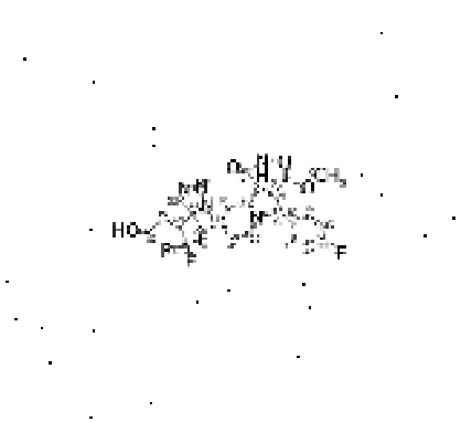 COC(=O)c1c(C(N)=O)c2cc(CC3(C(CCO)C(F)(F)F)C=NN=N3)ccn2c1-c1ccc(F)cc1